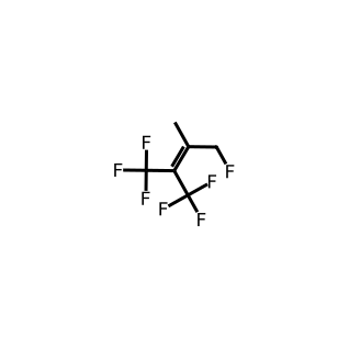 CC(CF)=C(C(F)(F)F)C(F)(F)F